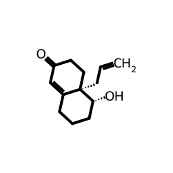 C=CC[C@@]12CCC(=O)C=C1CCC[C@H]2O